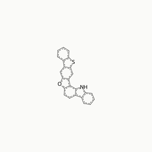 c1ccc2c(c1)[nH]c1c2ccc2oc3cc4c(cc3c21)sc1ccccc14